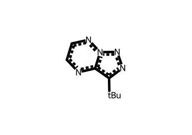 CC(C)(C)c1nnn2nccnc12